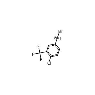 FC(F)(F)c1c[c]([Mg][Br])ccc1Cl